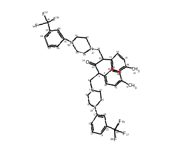 Cc1ccc(C(CN2CCN(c3cccc(C(F)(F)F)c3)CC2)C(=O)C(CN2CCN(c3cccc(C(F)(F)F)c3)CC2)c2ccc(C)cc2)cc1